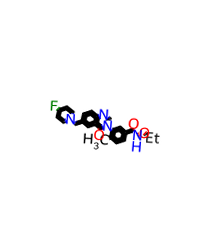 CCONC(=O)c1ccc(C)c(-n2cnc3ccc(CN4CCC(F)CC4)cc3c2=O)c1